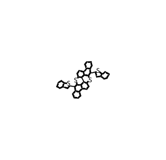 c1ccc2sc(-c3c4ccccc4c4ccc5sc6c(-c7cc8ccccc8s7)c7ccccc7c7ccc8sc3c4c5-c8c67)cc2c1